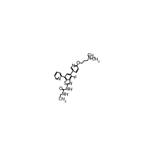 CCNC(=O)Nc1nc2c(F)c(-c3ccc(OCCCN(C)C)nc3)cc(-c3ccccn3)c2s1